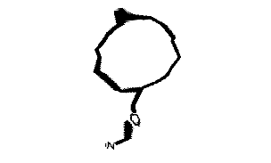 [N]OC1CCCCCC1